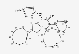 CCc1ccc(OCC(=O)N(CC2CCC(C3CCCCCCCC3)S2)C2CNCCC23CCCCCCCCC3)cc1